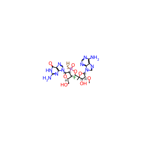 CO[C@H]1[C@H](n2cnc3c(N)ncnc32)OC(C)(COP(=O)(S)[C@@H]2[C@H](F)[C@@H](CO)O[C@H]2n2cnc3c(=O)[nH]c(N)nc32)[C@H]1O